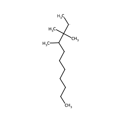 C[CH]C(C)(C)C(C)CCCCCCC